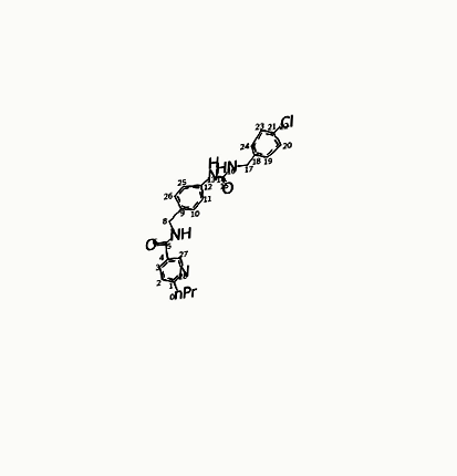 CCCc1ccc(C(=O)NCc2ccc(NC(=O)NCc3ccc(Cl)cc3)cc2)cn1